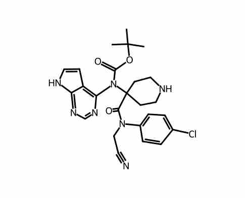 CC(C)(C)OC(=O)N(c1ncnc2[nH]ccc12)C1(C(=O)N(CC#N)c2ccc(Cl)cc2)CCNCC1